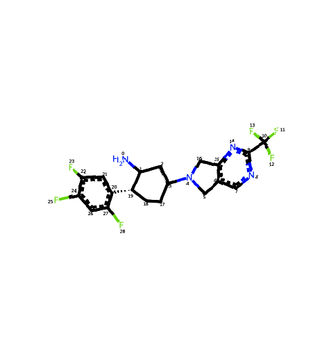 NC1CC(N2Cc3cnc(C(F)(F)F)nc3C2)CC[C@@H]1c1cc(F)c(F)cc1F